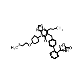 CCCc1c(Cc2ccc(-c3ccccc3-c3noc(=O)[nH]3)cc2)c(=O)n(C2CCC(OCCSC)CC2)c2ncnn12